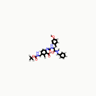 COc1ccc(C[C@H](Nc2nc3ccc(CNC(=O)OC(C)(C)C)c(C)c3c(=O)o2)C(=O)N(C)Cc2ccccc2)cc1